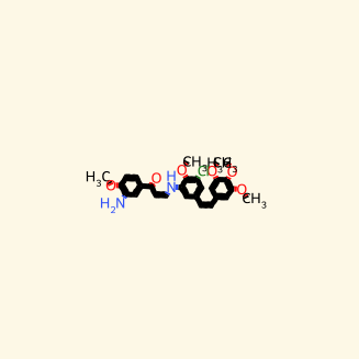 COc1ccc(C(=O)/C=C\Nc2cc(/C=C\c3cc(OC)c(OC)c(OC)c3)cc(Cl)c2OC)cc1N